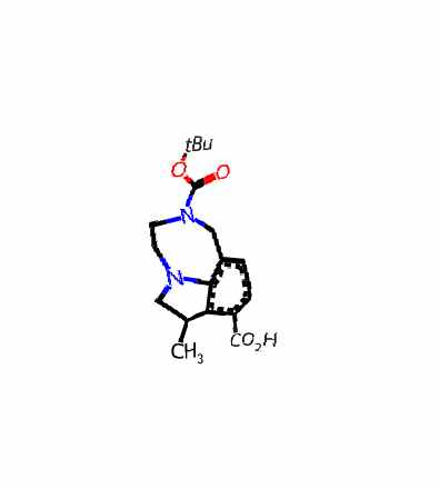 CC1CN2CCN(C(=O)OC(C)(C)C)Cc3ccc(C(=O)O)c1c32